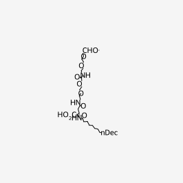 CCCCCCCCCCCCCCCCCC(=O)N[C@@H](CCC(=O)NCCOCCOCC(=O)NCCOCCOC[C]=O)C(=O)O